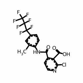 Cc1cc(C(F)(F)C(F)(F)C(F)(F)F)ccc1NC(=O)c1ccnc(Cl)c1C(=O)O